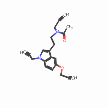 C#CCOc1ccc2c(c1)c(CCN(CC#C)C(=O)C(F)(F)F)cn2CC#C